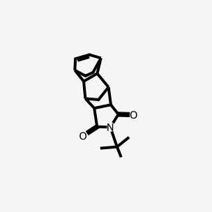 CC(C)(C)N1C(=O)C2C3CC(C2C1=O)C1C2C=CC(CC2)C31